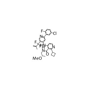 C=C(C)C(F)(F)c1cnc(-c2cc(Cl)ccc2F)cc1Nc1ccnc(C2CCC2)c1C(=O)NC[C@H](C)OC